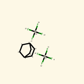 C1CC2CCC1CC2.F[B-](F)(F)F.F[B-](F)(F)F